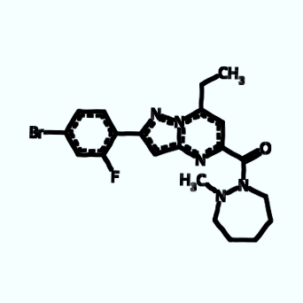 CCc1cc(C(=O)N2CCCCCN2C)nc2cc(-c3ccc(Br)cc3F)nn12